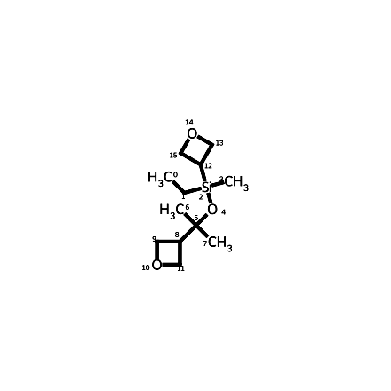 CC[Si](C)(OC(C)(C)C1COC1)C1COC1